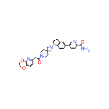 NC(=O)c1ccc(-c2ccc3c(c2)CC[C@H]3N2CC3(CCN(C(=O)Cc4ccc5c(n4)OCCO5)CC3)C2)cn1